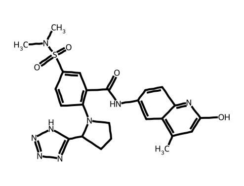 Cc1cc(O)nc2ccc(NC(=O)c3cc(S(=O)(=O)N(C)C)ccc3N3CCCC3c3nnn[nH]3)cc12